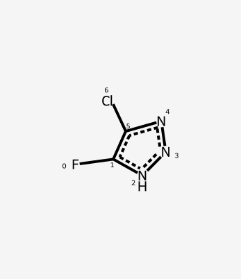 Fc1[nH]nnc1Cl